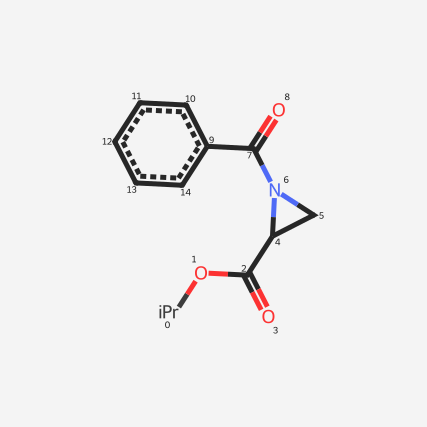 CC(C)OC(=O)C1CN1C(=O)c1ccccc1